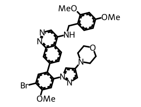 COc1ccc(CNc2cnnc3cc(-c4cc(Br)c(OC)cc4-n4cc(N5CCOCC5)cn4)ccc23)c(OC)c1